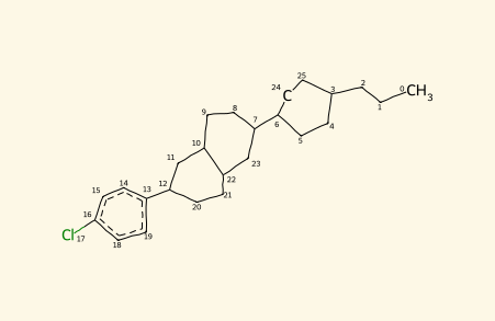 CCCC1CCC(C2CCC3CC(c4ccc(Cl)cc4)CCC3C2)CC1